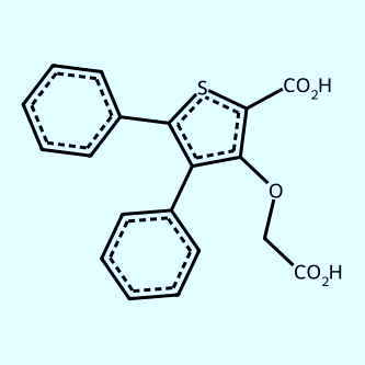 O=C(O)COc1c(C(=O)O)sc(-c2ccccc2)c1-c1ccccc1